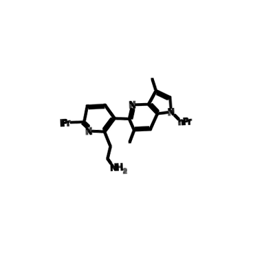 CCCn1cc(C)c2nc(-c3ccc(C(C)C)nc3CCN)c(C)cc21